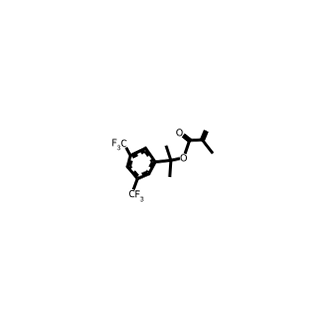 C=C(C)C(=O)OC(C)(C)c1cc(C(F)(F)F)cc(C(F)(F)F)c1